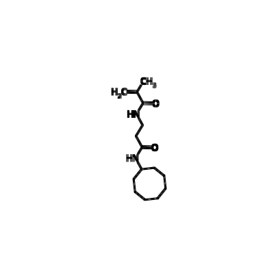 C=C(C)C(=O)NCCC(=O)NC1CCCCCCC1